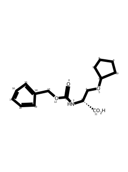 O=C(N[C@H](COC1CCCC1)C(=O)O)OCc1ccccc1